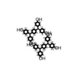 Oc1ccc(C(c2ccc(O)cc2)c2ccc(C(c3ccc(O)cc3)c3ccc(O)cc3)cc2)cc1.Oc1ccc(C(c2ccc(O)cc2)c2ccc(C(c3ccc(O)cc3)c3ccc(O)cc3)cc2)cc1